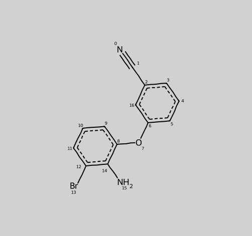 N#Cc1cccc(Oc2cccc(Br)c2N)c1